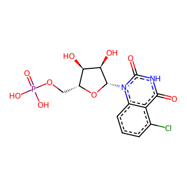 O=c1[nH]c(=O)n([C@@H]2O[C@H](COP(=O)(O)O)[C@@H](O)[C@H]2O)c2cccc(Cl)c12